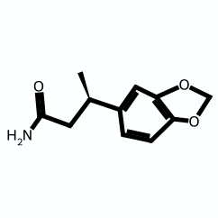 C[C@H](CC(N)=O)c1ccc2c(c1)OCO2